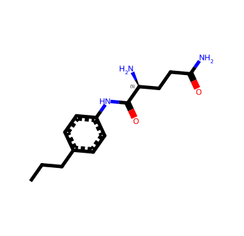 CCCc1ccc(NC(=O)[C@@H](N)CCC(N)=O)cc1